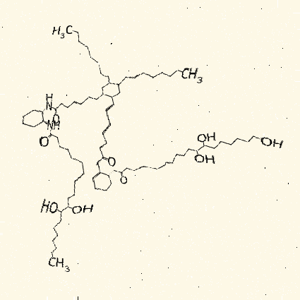 CCCCCCCCC1CC(CCCCCCC(=O)C[C@@H]2CCCC[C@H]2CC(=O)CCCCCCCCCC(O)C(O)CCCCCCO)C(CCCCCCC(=O)N[C@H]2CCCC[C@@H]2NC(=O)CCCCCCCCCC(O)C(O)CCCCCCC)CC1CCCCCCCC